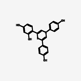 Oc1ccc(C2=CN(c3ccc(O)cc3)C=C(c3ccc(O)cc3O)S2)cc1